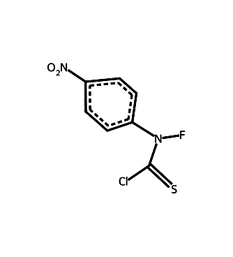 O=[N+]([O-])c1ccc(N(F)C(=S)Cl)cc1